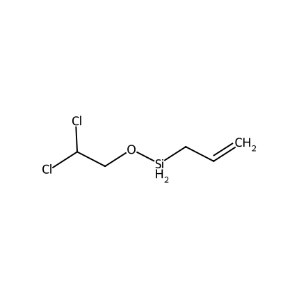 C=CC[SiH2]OCC(Cl)Cl